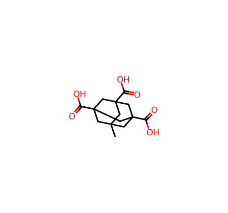 CC12CC3(C(=O)O)CC(C(=O)O)(C1)CC(C(=O)O)(C2)C3